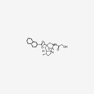 CC(C)[C@@]12C[C@@H](NC(=O)CO)[C@@](C)(O1)[C@@H]1CC[C@@H](C)[C@H]1[C@@H]2OC(=O)c1ccc2ccccc2c1